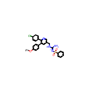 CC(C)Oc1ccc(-c2cc(CN/C(N)=N/S(=O)(=O)c3ccccc3)cnc2C2=CCC(Cl)C=C2)cc1